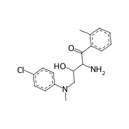 Cc1ccccc1C(=O)C(N)C(O)CN(C)c1ccc(Cl)cc1